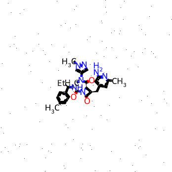 CC[C@@H](NC(=O)N1C(=O)[C@H](Cc2cc(C)nc(N)c2)[C@H]1C(=O)N(C)c1cnn(C)c1)c1ccc(C)cc1